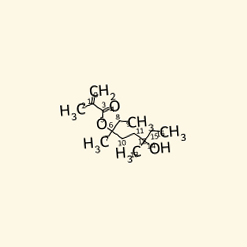 C=C(C)C(=O)OC(C)(CC)CCC(C)(O)CC